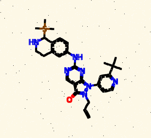 C=CCn1c(=O)c2cnc(Nc3ccc4c(c3)CCNC4S(C)(C)C)nc2n1-c1ccnc(C(C)(C)C)c1